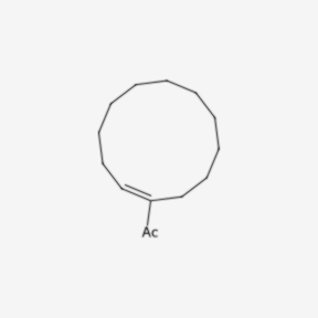 CC(=O)C1=CCCCCCCCCCC1